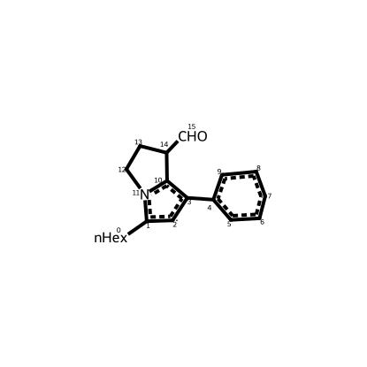 CCCCCCc1[c]c(-c2ccccc2)c2n1CCC2C=O